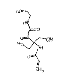 C=CC(=O)NC(CO)(CO)C(=O)C(=O)NCCCCCCCCCCC